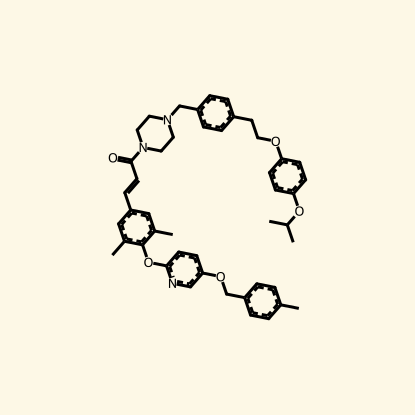 Cc1ccc(COc2ccc(Oc3c(C)cc(C=CC(=O)N4CCN(Cc5ccc(CCOc6ccc(OC(C)C)cc6)cc5)CC4)cc3C)nc2)cc1